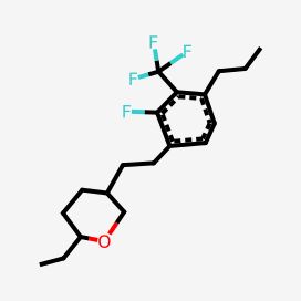 CCCc1ccc(CCC2CCC(CC)OC2)c(F)c1C(F)(F)F